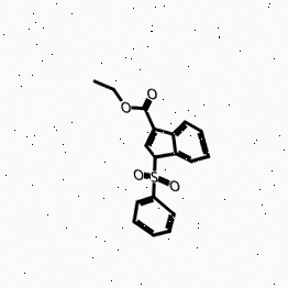 CCOC(=O)C1=CC(S(=O)(=O)c2ccccc2)c2ccccc21